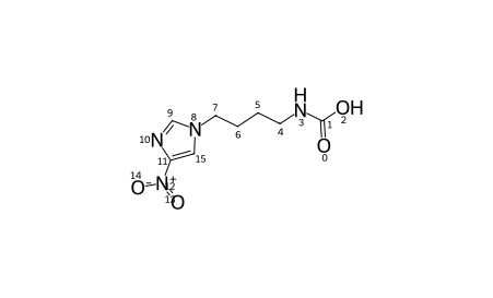 O=C(O)NCCCCn1cnc([N+](=O)[O-])c1